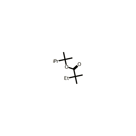 CCC(C)(C)C(=O)OC(C)(C)C(C)C